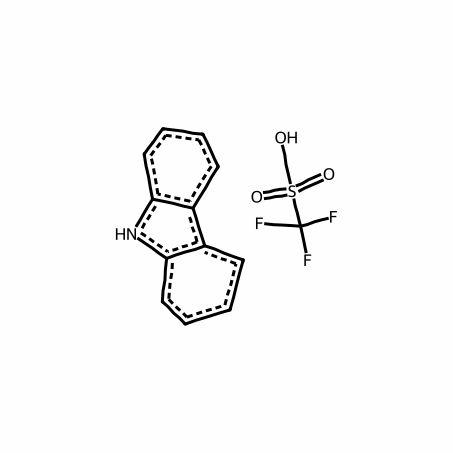 O=S(=O)(O)C(F)(F)F.c1ccc2c(c1)[nH]c1ccccc12